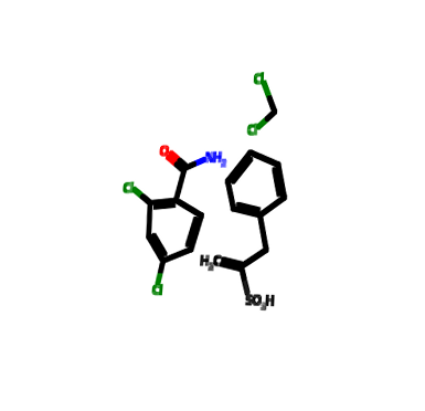 C=C(Cc1ccccc1)S(=O)(=O)O.ClCCl.NC(=O)c1ccc(Cl)cc1Cl